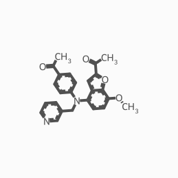 COc1ccc(N(Cc2cccnc2)c2ccc(C(C)=O)cc2)c2cc(C(C)=O)oc12